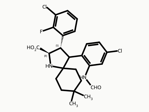 CC1(C)CCC2(CC1)N[C@@H](C(=O)O)[C@H](c1cccc(Cl)c1F)C2c1ccc(Cl)cc1NC=O